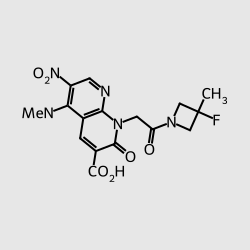 CNc1c([N+](=O)[O-])cnc2c1cc(C(=O)O)c(=O)n2CC(=O)N1CC(C)(F)C1